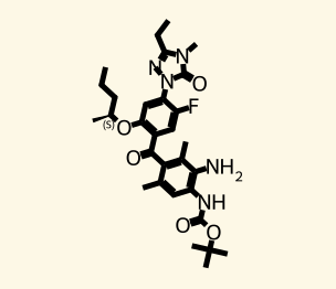 CCC[C@H](C)Oc1cc(-n2nc(CC)n(C)c2=O)c(F)cc1C(=O)c1c(C)cc(NC(=O)OC(C)(C)C)c(N)c1C